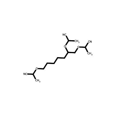 CC(C#N)OCCCCCC(COC(C)C#N)OC(C)C#N